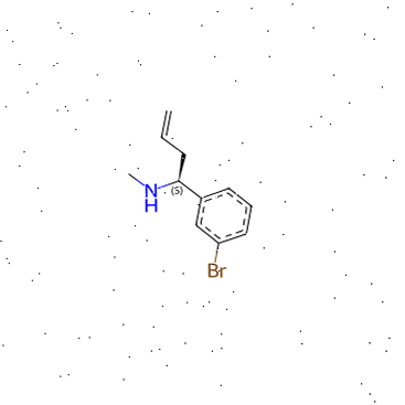 C=CC[C@H](NC)c1cccc(Br)c1